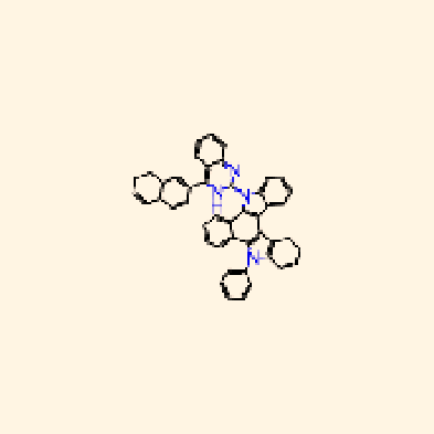 C1=Cc2c(c3c4c5ccccc5n(C5N=c6ccccc6=C(C6=CC7CCC=CC7C=C6)N5)c4c4ccccc4c3n2-c2ccccc2)CC1